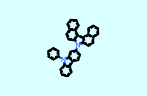 c1ccc(-n2c3ccccc3c3ccc(-n4c5ccc6ccccc6c5c5c6ccccc6ccc54)cc32)cc1